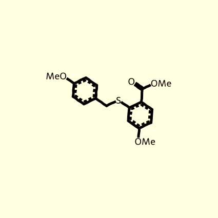 COC(=O)c1ccc(OC)cc1SCc1ccc(OC)cc1